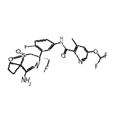 Cc1cc(OC(F)F)cnc1C(=O)Nc1ccc(F)c([C@]2(CF)CS(=O)(=O)C3(CCC3)C(N)=N2)c1